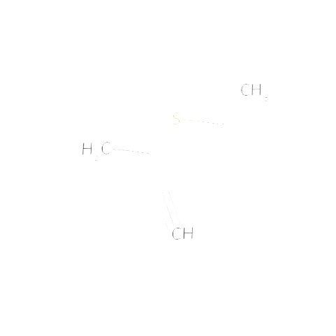 C#CC(C)S[CH]C